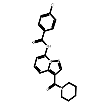 O=C(Nc1cccc2c(C(=O)N3CCCCC3)cnn12)c1ccc(Cl)cc1